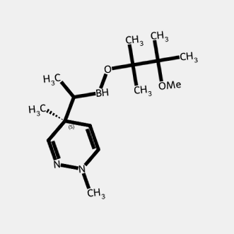 COC(C)(C)C(C)(C)OBC(C)[C@@]1(C)C=CN(C)N=C1